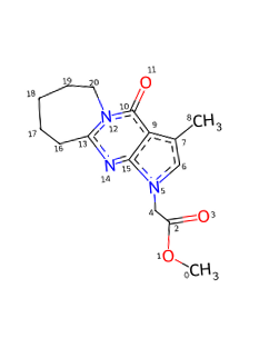 COC(=O)Cn1cc(C)c2c(=O)n3c(nc21)CCCCC3